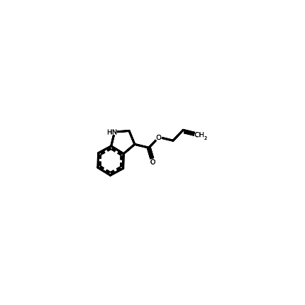 C=CCOC(=O)C1CNc2ccccc21